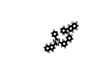 c1ccc(-c2nc(-c3cccc(-c4cccc(-n5c6ccccc6c6cc7ccccc7cc65)c4)c3)nc(-c3ccc4ccccc4c3)n2)cc1